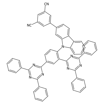 N#Cc1cc(C#N)cc(-c2ccc3c4ccccc4n(-c4ccc(-c5nc(-c6ccccc6)nc(-c6ccccc6)n5)cc4-c4nc(-c5ccccc5)nc(-c5ccccc5)n4)c3c2)c1